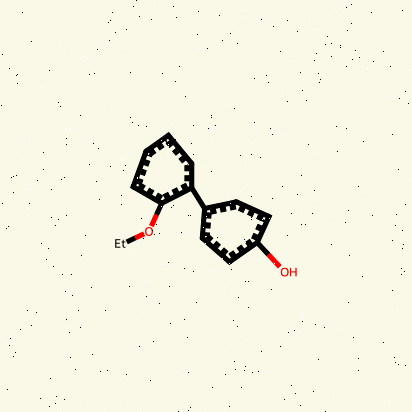 CCOc1ccccc1-c1c[c]c(O)cc1